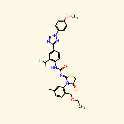 Cc1ccc(COCC(F)(F)F)c(N2C(=O)CSC2=NC(=O)Nc2ccc(-c3ncn(-c4ccc(OC(F)(F)F)cc4)n3)cc2C(F)F)c1